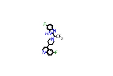 Fc1ccc2nc(C(N3CCC(c4ccnc5ccc(F)cc45)CC3)C(F)(F)F)[nH]c2c1